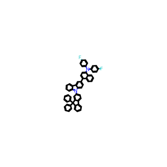 Fc1ccc(N(c2ccc(F)cc2)c2ccc(-c3ccc4c(c3)c3ccccc3n4-c3ccc4c(c3)C(c3ccccc3)(c3ccccc3)c3ccccc3-4)c3ccccc23)cc1